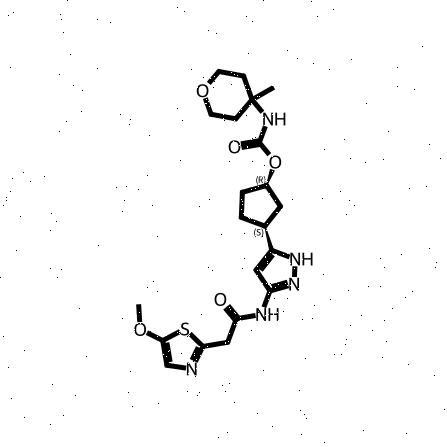 COc1cnc(CC(=O)Nc2cc([C@H]3CC[C@@H](OC(=O)NC4(C)CCOCC4)C3)[nH]n2)s1